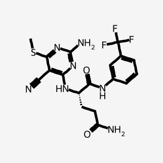 CSc1nc(N)nc(N[C@@H](CCC(N)=O)C(=O)Nc2cccc(C(F)(F)F)c2)c1C#N